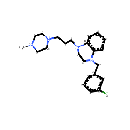 CN1CCN(CCCN2CCN(Cc3cccc(Cl)c3)c3ccccc32)CC1